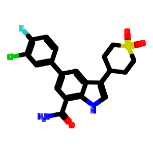 NC(=O)c1cc(-c2ccc(F)c(Cl)c2)cc2c(C3CCS(=O)(=O)CC3)c[nH]c12